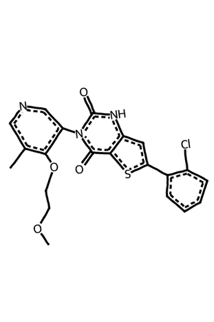 COCCOc1c(C)cncc1-n1c(=O)[nH]c2cc(-c3ccccc3Cl)sc2c1=O